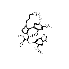 CCCCn1ncc(/C=C(/Cc2cc3c(cc2OC)OCO3)C(=O)O)c1-c1cc(Cl)c(C)cc1O